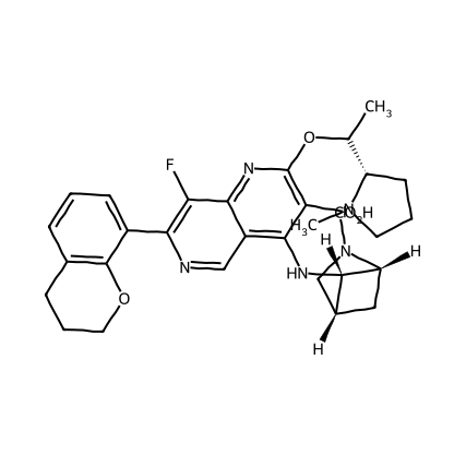 CC(Oc1nc2c(F)c(-c3cccc4c3OCCC4)ncc2c(N[C@H]2[C@@H]3C[C@H]2N(C(=O)O)C3)c1I)[C@@H]1CCCN1C